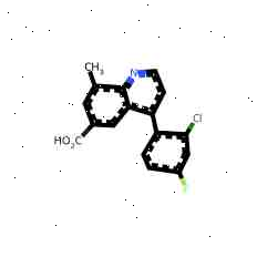 Cc1cc(C(=O)O)cc2c(-c3ccc(F)cc3Cl)ccnc12